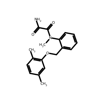 Cc1ccc(C)c(OCc2ccccc2N(C)C(=O)C(N)=O)c1